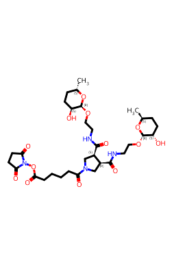 C[C@H]1CC[C@H](O)[C@H](OCCNC(=O)[C@H]2CN(C(=O)CCCCC(=O)ON3C(=O)CCC3=O)C[C@H]2C(=O)NCCO[C@@H]2O[C@@H](C)CC[C@@H]2O)O1